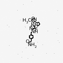 Cc1nc(C2CCCN2c2ncnc(NCc3ccc(CC(N)=O)cc3)c2F)no1